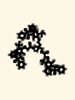 CCC(CCOc1c(C(C)(C)C)cc(C)c(C(=O)P(=O)(c2ccccc2)c2ccccc2)c1C)(COC(=O)COc1c(C(C)(C)C)cc(C)c(C(=O)P(=O)(c2ccccc2)c2ccccc2)c1C)COC(=O)COc1c(C(C)(C)C)cc(C)c(C(=O)P(=O)(c2ccccc2)c2ccccc2)c1C